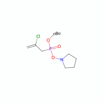 C=C(Cl)CP(=O)(OCCCC)ON1CCCC1